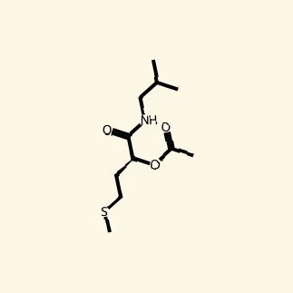 CSCC[C@H](OC(C)=O)C(=O)NCC(C)C